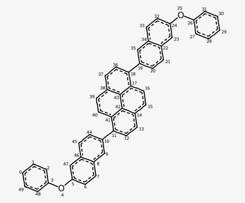 c1ccc(Oc2ccc3cc(-c4ccc5ccc6c(-c7ccc8cc(Oc9ccccc9)ccc8c7)ccc7ccc4c5c76)ccc3c2)cc1